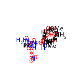 C=C1C[C@@H]2CC[C@@H](OC)CC(O)[C@H]3C4O[C@H]5CC[C@H](CC(=O)C[C@@H]6C[C@@H](C[C@@H](CNC(=O)OCc7ccc(NC(=O)[C@H](CCCNC(N)=O)NC(=O)[C@@H](NC(=O)CCOCCOCCN8C(=O)C=CC8=O)C(C)C)cc7)OC)O[C@H]6C[C@H]6O[C@H](CCC6=C)CC[C@@H]1O2)OC5[C@H](O)C43